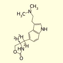 [2H]C([2H])(c1ccc2[nH]cc(CCN(C)C)c2c1)[C@@]1([2H])COC(=O)N1